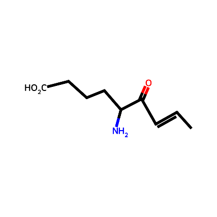 CC=CC(=O)C(N)CCCC(=O)O